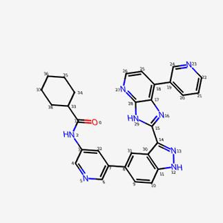 O=C(Nc1cncc(-c2ccc3[nH]nc(-c4nc5c(-c6cccnc6)ccnc5[nH]4)c3c2)c1)C1CCCCC1